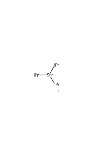 C[CH](C)[Sn+]([CH](C)C)[CH](C)C.[I-]